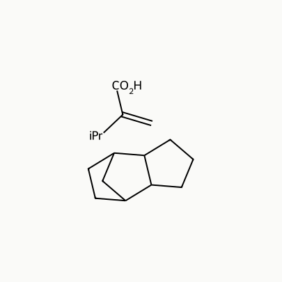 C1CC2C3CCC(C3)C2C1.C=C(C(=O)O)C(C)C